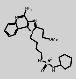 COCCc1nc2c(N)nc3ccccc3c2n1CCCCNS(=O)(=O)NC1CCCCC1